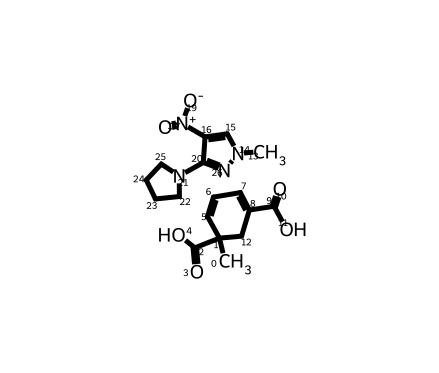 CC1(C(=O)O)C=CC=C(C(=O)O)C1.Cn1cc([N+](=O)[O-])c(N2CCCC2)n1